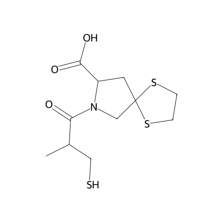 CC(CS)C(=O)N1CC2(CC1C(=O)O)SCCS2